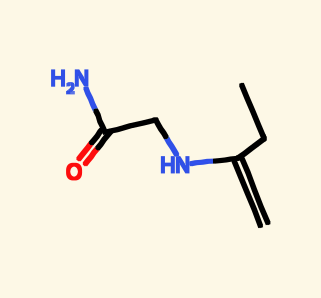 C=C(CC)NCC(N)=O